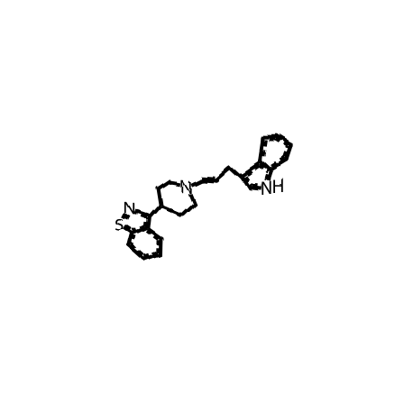 C(=CN1CCC(c2nsc3ccccc23)CC1)Cc1c[nH]c2ccccc12